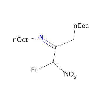 CCCCCCCCCCCC(=NCCCCCCCC)C(CC)[N+](=O)[O-]